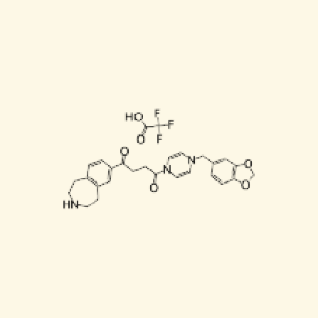 O=C(CCC(=O)N1C=CN(Cc2ccc3c(c2)OCO3)C=C1)c1ccc2c(c1)CCNCC2.O=C(O)C(F)(F)F